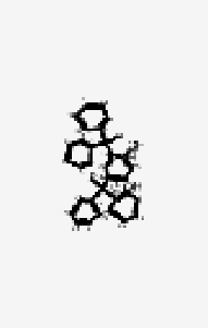 CC(c1ccccc1)(c1ccccc1)c1cc(C(C)(c2ccccc2)c2ccccc2)c(O)cc1O